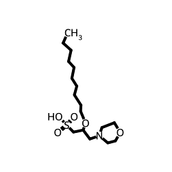 CCCCCCCCCCOC(CN1CCOCC1)CS(=O)(=O)O